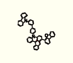 c1cc(-c2ccc(N(c3ccc(-c4cccc5c4oc4ccccc45)cc3)c3ccccc3-c3cccc4ccccc34)cc2)cc(-n2c3ccccc3c3ccccc32)c1